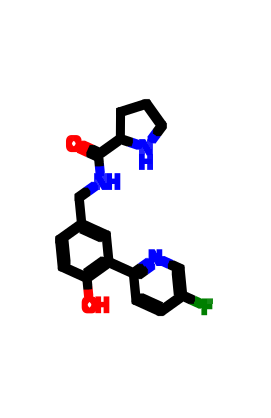 O=C(NCc1ccc(O)c(-c2ccc(F)cn2)c1)C1CCCN1